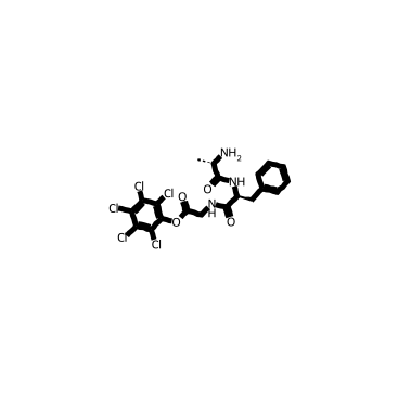 C[C@H](N)C(=O)N[C@@H](Cc1ccccc1)C(=O)NCC(=O)Oc1c(Cl)c(Cl)c(Cl)c(Cl)c1Cl